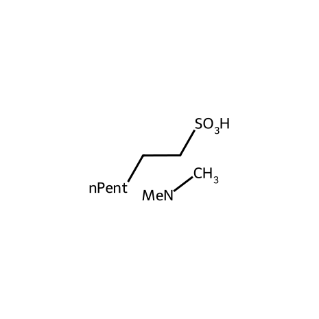 CCCCCCCS(=O)(=O)O.CNC